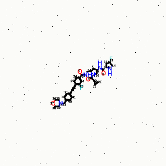 O=C(NC[C@H]1C[C@@H](NC(=O)[C@@H]2C[C@H](F)CN2)CN1C(=O)C1CC1)c1ccc(C#Cc2ccc(CN3CCOCC3)cc2)c(F)c1